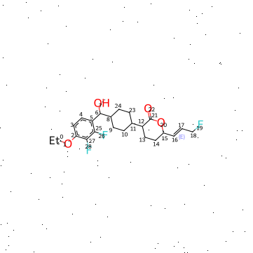 CCOc1ccc(C(O)C2CCC(C3CCC(/C=C/CF)OC3=O)CC2)c(F)c1F